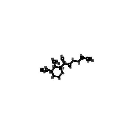 COCCOC(=O)N1CCCC(C)C1C